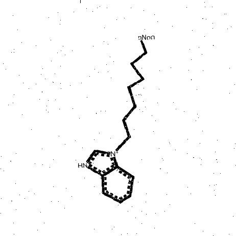 CCCCCCCCCCCCCCCC[n+]1c[nH]c2ccccc21